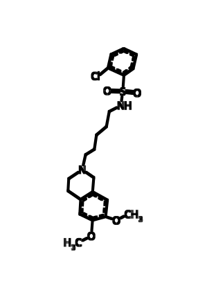 COc1cc2c(cc1OC)CN(CCCCCNS(=O)(=O)c1ccccc1Cl)CC2